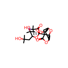 CCC(C)(I)C(=O)Oc1c2oc3c1OC(=O)C3(C(=O)OC(CC(C)(C)O)C(C)(C)O)C2